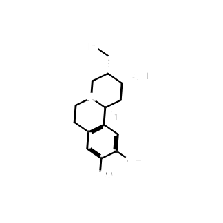 COc1cc2c(cc1O)[C@@H]1C[C@@H](O)[C@@H](CC(C)C)CN1CC2